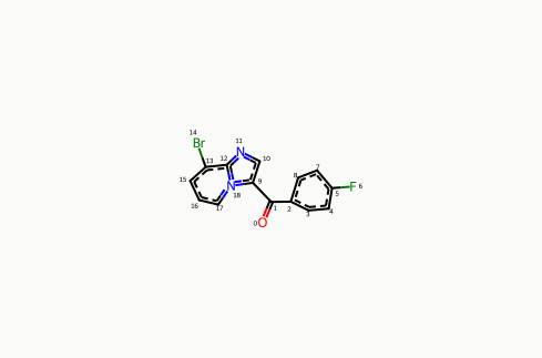 O=C(c1ccc(F)cc1)c1cnc2c(Br)cccn12